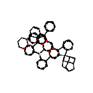 C1=Cc2cccc(-c3ccccc3N(c3ccccc3-c3ccc4c(c3)C3(c5ccccc5-4)C4CC5CC6CC3C64C5)c3cccc4c3c3ccccc3n4-c3ccccc3)c2C(C2CCCCC2)C1